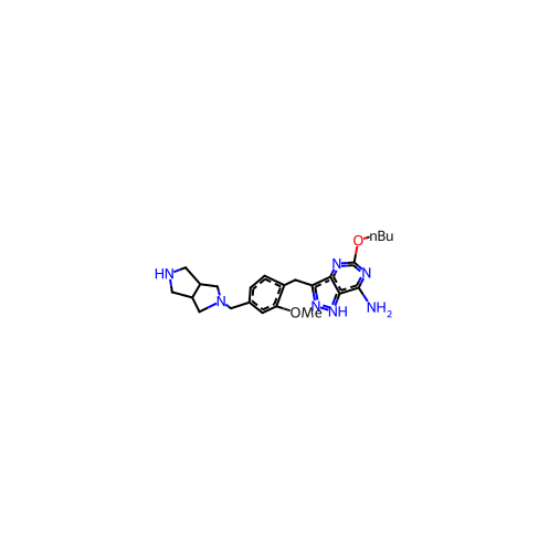 CCCCOc1nc(N)c2[nH]nc(Cc3ccc(CN4CC5CNCC5C4)cc3OC)c2n1